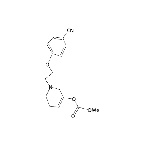 COC(=O)OC1=CCCN(CCOc2ccc(C#N)cc2)C1